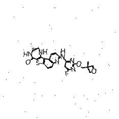 C[C@@H]1CNc2c(sc3ccc4nc(Nc5cc(F)nc(OCC6(C)COC6)n5)ccc4c23)C(=O)N1